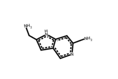 NCc1cc2cnc(N)cc2[nH]1